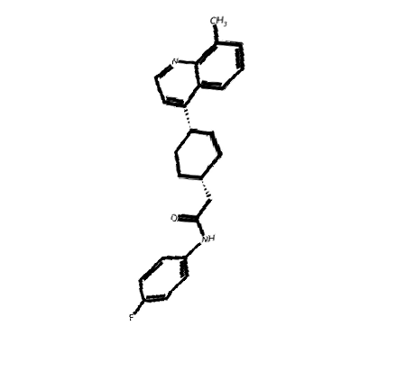 Cc1cccc2c1nccc2[C@H]1CC[C@@H](CC(=O)Nc2ccc(F)cc2)CC1